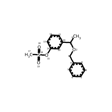 CC(OCc1ccccc1)c1cccc(OS(C)(=O)=O)c1